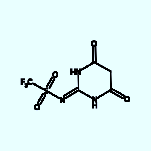 O=C1CC(=O)NC(=NS(=O)(=O)C(F)(F)F)N1